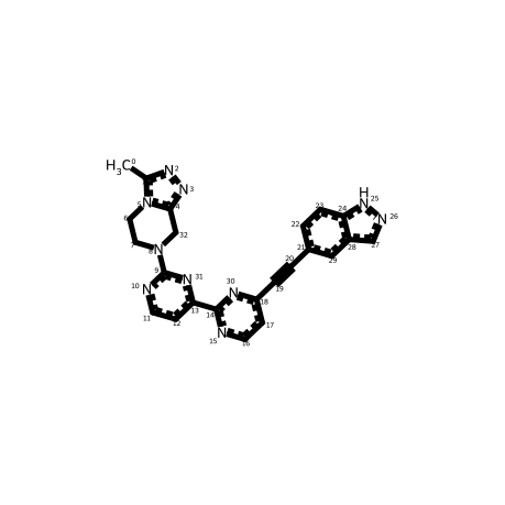 Cc1nnc2n1CCN(c1nccc(-c3nccc(C#Cc4ccc5[nH]ncc5c4)n3)n1)C2